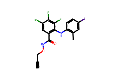 C#CCONC(=O)c1cc(Br)c(F)c(F)c1Nc1ccc(I)cc1C